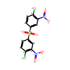 O=[N+]([O-])c1cc(S(=O)(=O)c2ccc(Cl)c([N+](=O)[O-])c2)ccc1Cl